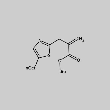 C=C(Cc1ncc(CCCCCCCC)s1)C(=O)OC(C)(C)C